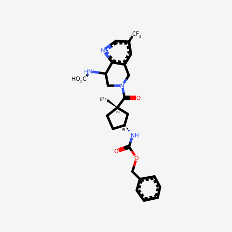 CC(C)[C@]1(C(=O)N2Cc3cc(C(F)(F)F)cnc3C(NC(=O)O)C2)CC[C@@H](NC(=O)OCc2ccccc2)C1